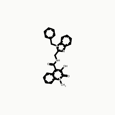 Cn1c(=O)c(O)c(C(=O)NCc2nc3ccccc3n2Cc2ccccc2)c2ccccc21